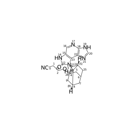 N#CCCO[C@]12CC3C[C@H](C1)[C@@H](n1c(=O)[nH]c4cnc5[nH]cnc5c41)[C@@H](C3)C2